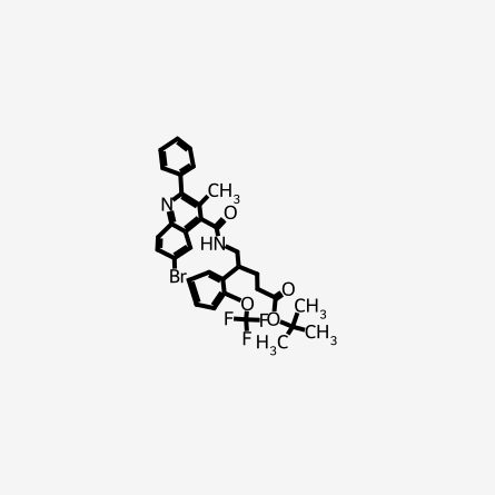 Cc1c(-c2ccccc2)nc2ccc(Br)cc2c1C(=O)NCC(CCC(=O)OC(C)(C)C)c1ccccc1OC(F)(F)F